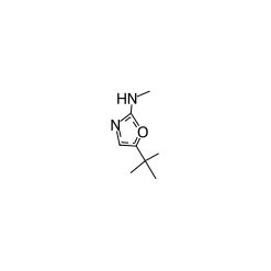 CNc1ncc(C(C)(C)C)o1